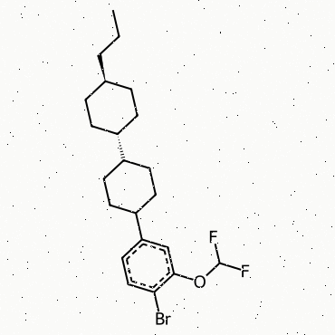 CCC[C@H]1CC[C@H](C2CCC(c3ccc(Br)c(OC(F)F)c3)CC2)CC1